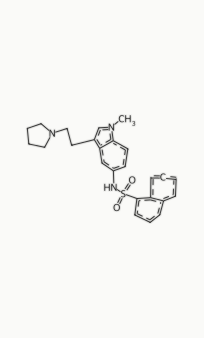 Cn1cc(CCN2CCCC2)c2cc(NS(=O)(=O)c3cccc4ccccc34)ccc21